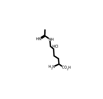 CC(=N)NCCCCC(N)C(=O)O.Cl